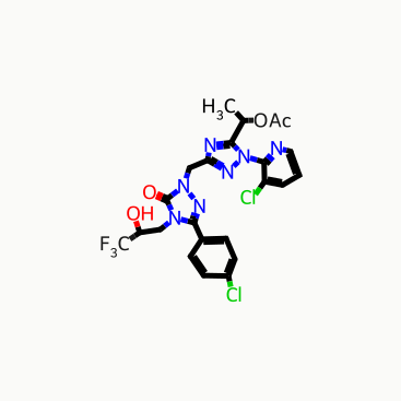 CC(=O)OC(C)c1nc(Cn2nc(-c3ccc(Cl)cc3)n(CC(O)C(F)(F)F)c2=O)nn1-c1ncccc1Cl